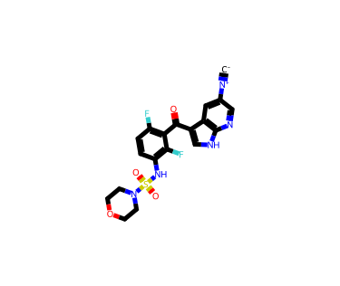 [C-]#[N+]c1cnc2[nH]cc(C(=O)c3c(F)ccc(NS(=O)(=O)N4CCOCC4)c3F)c2c1